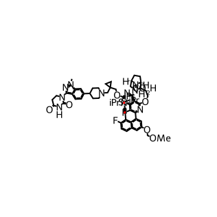 COCOc1cc(-c2nc3c4c(nc(OCC5(CN6CCC(c7ccc8c(N9CCC(=O)NC9=O)nn(C)c8c7)CC6)CC5)nc4c2F)N2C[C@H]4CC[C@@H]([C@H]2CCO3)N4C(=O)O)c2c(C#C[Si](C(C)C)(C(C)C)C(C)C)c(F)ccc2c1